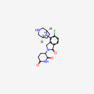 O=C1CCC(N2Cc3c(ccc(F)c3N3[C@@H]4CC[C@H]3CNC4)C2=O)C(=O)N1